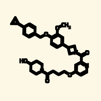 COc1cc(C2CN(C(=O)c3cc(OCCCC(=O)N4CCC(O)CC4)ccn3)C2)ccc1OCc1ccc(C2CC2)cc1